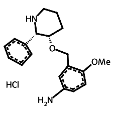 COc1ccc(N)cc1CO[C@H]1CCCN[C@H]1c1ccccc1.Cl